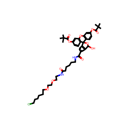 CC(C)(C)C(=O)Oc1ccc2c(c1)Oc1cc(OC(=O)C(C)(C)C)ccc1C21OC(O)c2cc(C(=O)NCCCCCC(=O)NCCOCCOCCCCCCCl)ccc21